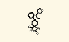 CN(CC1CCOC1)C1(c2ccccc2)CCC2(CC1)NC(=O)NC2=O